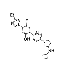 CCc1ncc(-c2cc(O)c(-c3ccc(N4CCC(NC5CCC5)C4)nn3)cc2F)s1